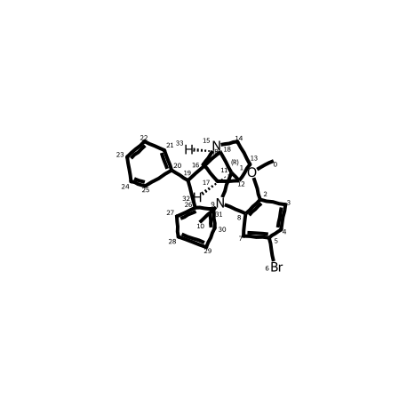 COc1ccc(Br)cc1N(C)[C@@H]1C2CCN(CC2)[C@@H]1C(c1ccccc1)c1ccccc1